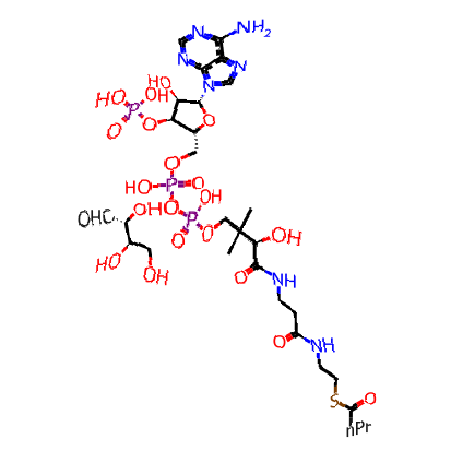 CCCC(=O)SCCNC(=O)CCNC(=O)[C@H](O)C(C)(C)COP(=O)(O)OP(=O)(O)OC[C@H]1O[C@@H](n2cnc3c(N)ncnc32)[C@H](O)[C@@H]1OP(=O)(O)O.O=C[C@H](O)[C@H](O)CO